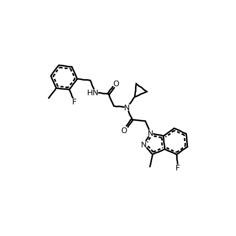 Cc1cccc(CNC(=O)CN(C(=O)Cn2nc(C)c3c(F)cccc32)C2CC2)c1F